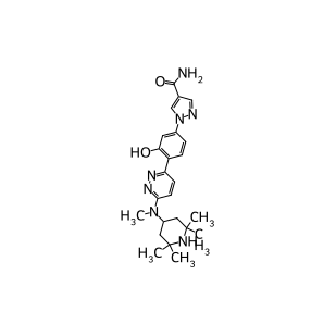 CN(c1ccc(-c2ccc(-n3cc(C(N)=O)cn3)cc2O)nn1)C1CC(C)(C)NC(C)(C)C1